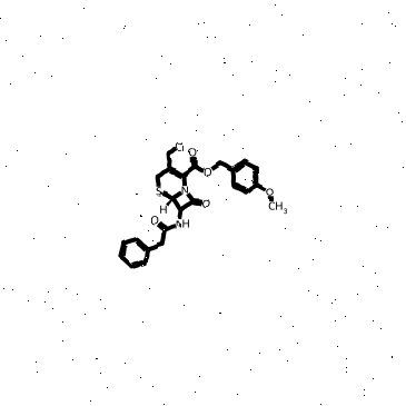 COc1ccc(COC(=O)C2=C(CCl)CS[C@H]3C(NC(=O)Cc4ccccc4)C(=O)N23)cc1